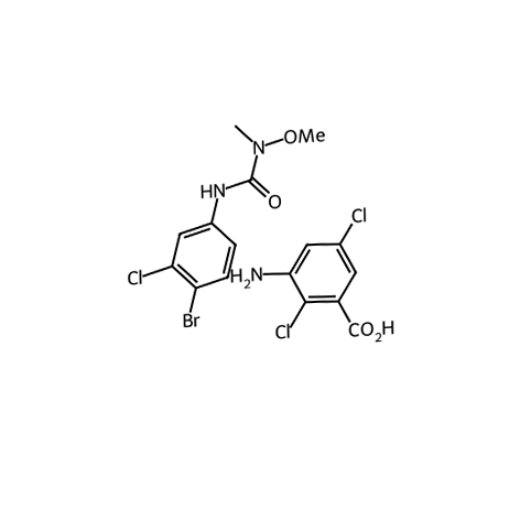 CON(C)C(=O)Nc1ccc(Br)c(Cl)c1.Nc1cc(Cl)cc(C(=O)O)c1Cl